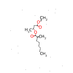 C=COC(=O)CC(C)OC(=O)C(=C)CCCCCC